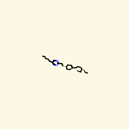 CCCCCc1cnc(CC[C@H]2CC[C@H]([C@H]3CC[C@H](CCC)CC3)CC2)nc1